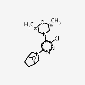 C[C@@H]1CN(c2cc(N3CC4CCC(C3)O4)nnc2Cl)C[C@H](C)O1